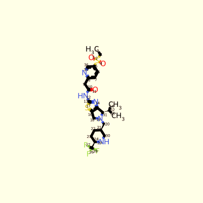 CCS(=O)(=O)c1ccc(CC(=O)Nc2nc3c(s2)CN(C[C@@H]2CC[C@H](C(F)(F)F)NC2)[C@H]3C(C)C)nc1